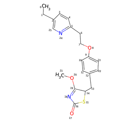 CCc1ccc(CCOc2ccc(CC3SC(=O)N=C3OC)cc2)nc1